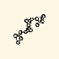 c1ccc(N(c2cccc(-c3ccc4c5cccc6c7cc8c(cc7n(c4c3)c56)c3cccc4c5ccc(-c6cccc(N(c7ccccc7)c7cccc9c7oc7ccccc79)c6)cc5n8c43)c2)c2cccc3c2oc2ccccc23)cc1